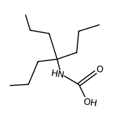 CCCC(CCC)(CCC)NC(=O)O